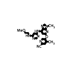 COCCNc1cc(Nc2cc(Oc3cnc(C#N)cc3C)nc3c2ncn3C)ncn1